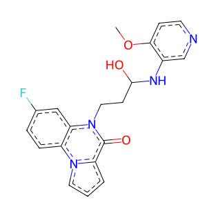 COc1ccncc1NC(O)CCn1c(=O)c2cccn2c2ccc(F)cc21